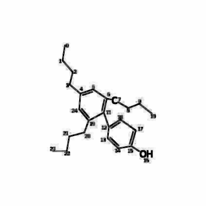 CCCCc1cc(CCCC)c(-c2ccc(O)cc2)c(CCCC)c1